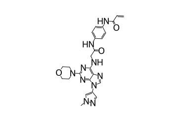 C=CC(=O)Nc1ccc(NC(=O)CNc2nc(N3CCOCC3)nc3c2ncn3-c2cnn(C)c2)cc1